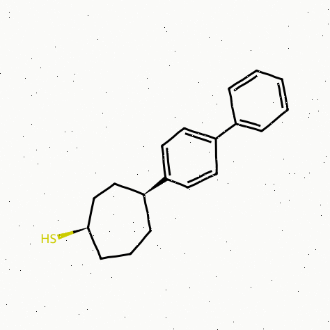 S[C@@H]1CCC[C@H](c2ccc(-c3ccccc3)cc2)CC1